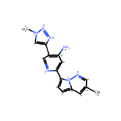 Cn1cc(-c2cnc(-c3ccc4cc(C#N)cnn34)cc2N)nn1